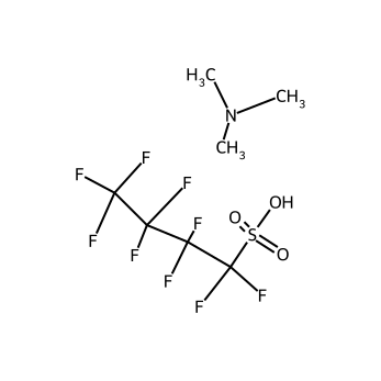 CN(C)C.O=S(=O)(O)C(F)(F)C(F)(F)C(F)(F)C(F)(F)F